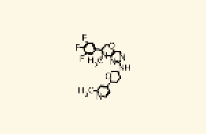 Cc1cc([C@@H]2CC[C@@H](Nc3ncc4c(n3)N(C)C(c3cc(F)c(F)c(F)c3)CO4)CO2)ccn1